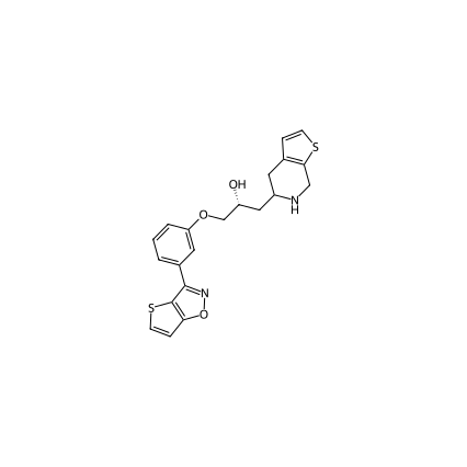 O[C@@H](COc1cccc(-c2noc3ccsc23)c1)CC1Cc2ccsc2CN1